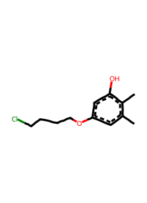 Cc1cc(OCCCCCl)cc(O)c1C